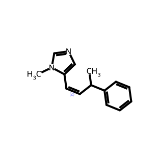 CC(/C=C\c1cncn1C)c1ccccc1